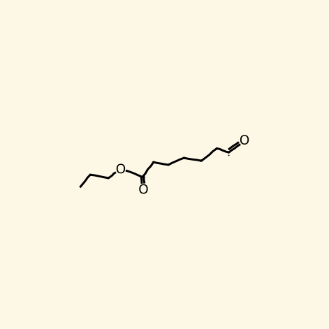 CCCOC(=O)CCCCC[C]=O